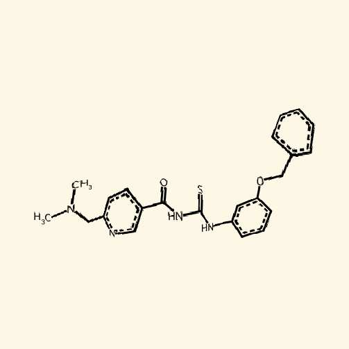 CN(C)Cc1ccc(C(=O)NC(=S)Nc2cccc(OCc3ccccc3)c2)cn1